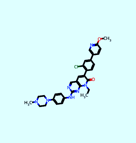 CCn1c(=O)c(-c2ccc(-c3ccc(OC)nc3)cc2Cl)cc2cnc(Nc3ccc(N4CCN(C)CC4)cc3)nc21